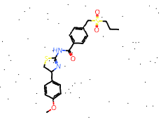 CCCS(=O)(=O)Cc1ccc(C(=O)NC2=NC(c3ccc(OC)cc3)CS2)cc1